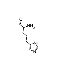 NC(C=O)CCCc1cnc[nH]1